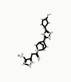 Cc1nonc1CC(=O)N1CC2CC1CC2c1nc(C2CCC(F)C2)no1